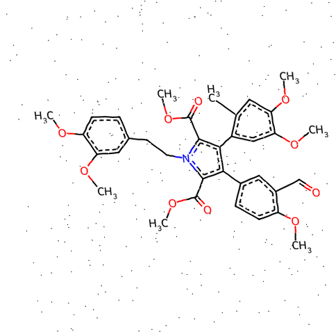 COC(=O)c1c(-c2ccc(OC)c(C=O)c2)c(-c2cc(OC)c(OC)cc2C)c(C(=O)OC)n1CCc1ccc(OC)c(OC)c1